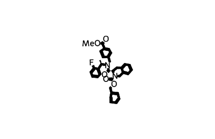 COC(=O)c1ccc(CN(C(=O)[C@@H]2Cc3ccccc3CN2C(=O)OCc2ccccc2)[C@H](C)c2ccccc2F)cc1